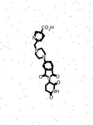 O=C1CCC(N2C(=O)c3ccc(N4CCN(Cc5ccc(C(=O)O)cn5)CC4)cc3C2=O)C(=O)N1